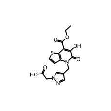 CCOC(=O)c1c(O)c(=O)n(Cc2cnn(CC(=O)O)c2)c2ccsc12